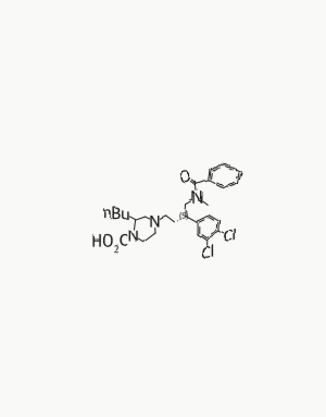 CCCCC1CN(CC[C@H](CN(C)C(=O)c2ccccc2)c2ccc(Cl)c(Cl)c2)CCN1C(=O)O